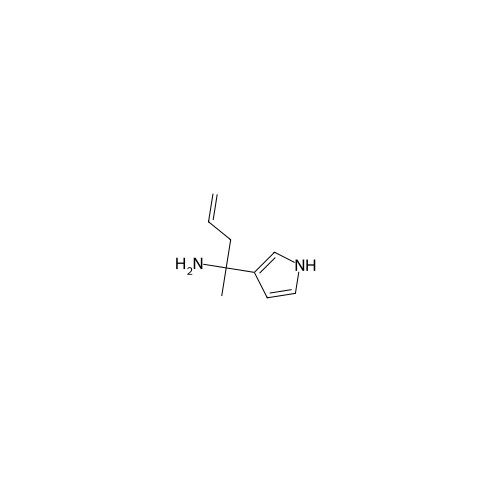 C=CCC(C)(N)c1cc[nH]c1